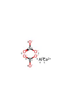 O=[Si]([O-])[O-].[Al+3].[Ca+2].[O-]B([O-])[O-]